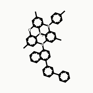 Cc1ccc(N2c3cc(C)cc4c3P3(=S)c5c(cc(C)cc5N(c5ccc(-c6cccc(-c7ccccc7)c6)c6ccccc56)c5cc(C)cc2c53)O4)cc1